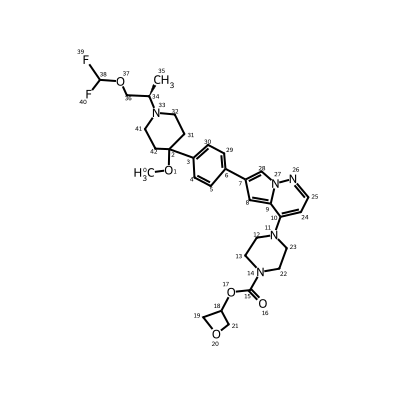 COC1(c2ccc(-c3cc4c(N5CCN(C(=O)OC6COC6)CC5)ccnn4c3)cc2)CCN([C@H](C)COC(F)F)CC1